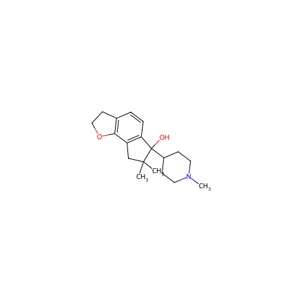 CN1CCC(C2(O)c3ccc4c(c3CC2(C)C)OCC4)CC1